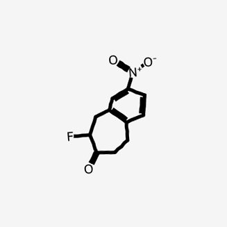 O=C1CCc2ccc([N+](=O)[O-])cc2CC1F